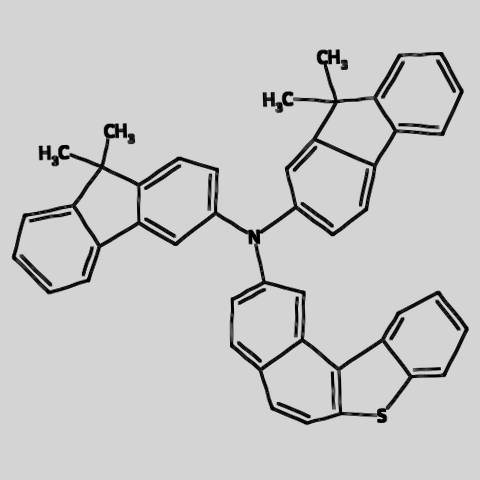 CC1(C)c2ccccc2-c2cc(N(c3ccc4c(c3)C(C)(C)c3ccccc3-4)c3ccc4ccc5sc6ccccc6c5c4c3)ccc21